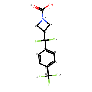 O=C(O)N1CC(C(F)(F)c2ccc(C(F)(F)F)cc2)C1